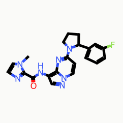 Cn1ccnc1C(=O)Nc1cnn2ccc(N3CCCC3c3cccc(F)c3)nc12